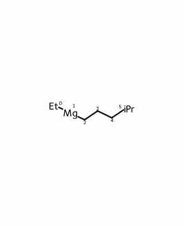 C[CH2][Mg][CH2]CCC(C)C